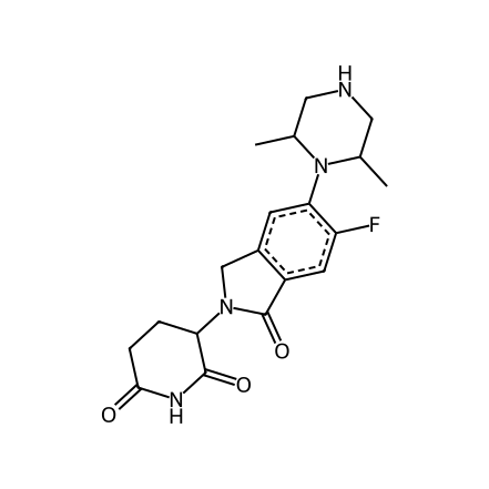 CC1CNCC(C)N1c1cc2c(cc1F)C(=O)N(C1CCC(=O)NC1=O)C2